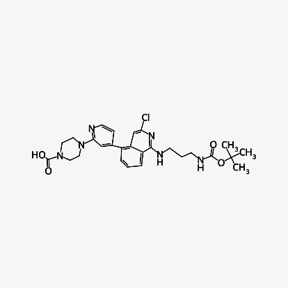 CC(C)(C)OC(=O)NCCCNc1nc(Cl)cc2c(-c3ccnc(N4CCN(C(=O)O)CC4)c3)cccc12